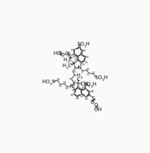 CC1(C)C(CCCC2N(CCCCS(=O)(=O)O)c3ccc4cc(S(=O)(=O)O)cc(SOOO)c4c3C2(C)C)=[N+](CCCCS(=O)(=O)O)c2ccc3cc(SOOO)cc(S(=O)(=O)O)c3c21